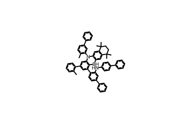 Cc1ccccc1-c1cc(-c2ccc(-c3ccccc3)cc2Nc2ccc(-c3ccccc3)cc2)c2c(c1)N(c1cc(-c3ccccc3)ccc1C)c1cc3c(cc1B2)C(C)(C)CCC3(C)C